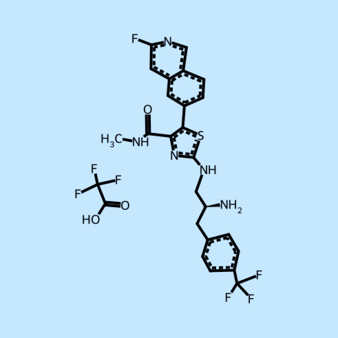 CNC(=O)c1nc(NC[C@@H](N)Cc2ccc(C(F)(F)F)cc2)sc1-c1ccc2cnc(F)cc2c1.O=C(O)C(F)(F)F